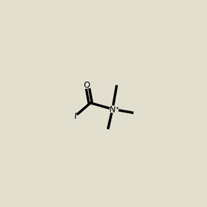 C[N+](C)(C)C(=O)I